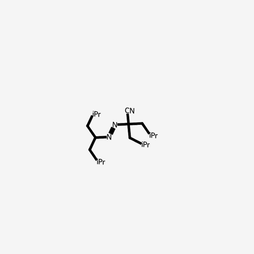 CC(C)CC(CC(C)C)N=NC(C#N)(CC(C)C)CC(C)C